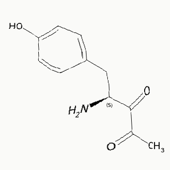 CC(=O)C(=O)[C@@H](N)Cc1ccc(O)cc1